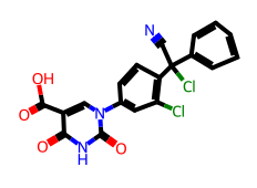 N#CC(Cl)(c1ccccc1)c1ccc(-n2cc(C(=O)O)c(=O)[nH]c2=O)cc1Cl